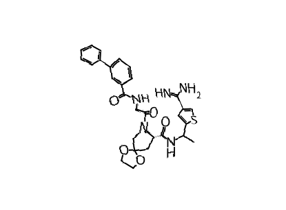 CC(NC(=O)[C@@H]1CC2(CN1C(=O)CNC(=O)c1cccc(-c3ccccc3)c1)OCCO2)c1cc(C(=N)N)cs1